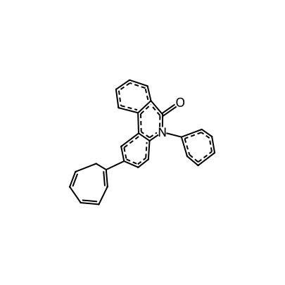 O=c1c2ccccc2c2cc(C3=CC=CC=CC3)ccc2n1-c1ccccc1